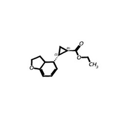 CCOC(=O)[C@@H]1C[C@H]1C1C=CC=C2OCCC21